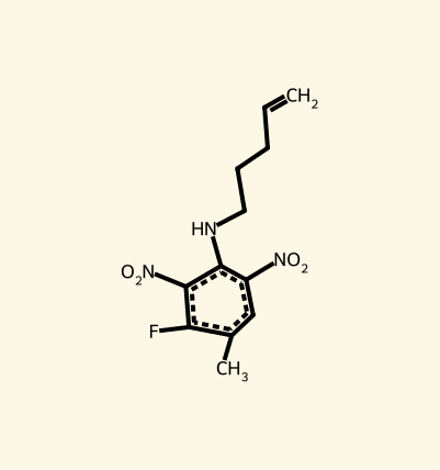 C=CCCCNc1c([N+](=O)[O-])cc(C)c(F)c1[N+](=O)[O-]